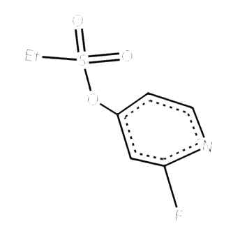 CCS(=O)(=O)Oc1ccnc(F)c1